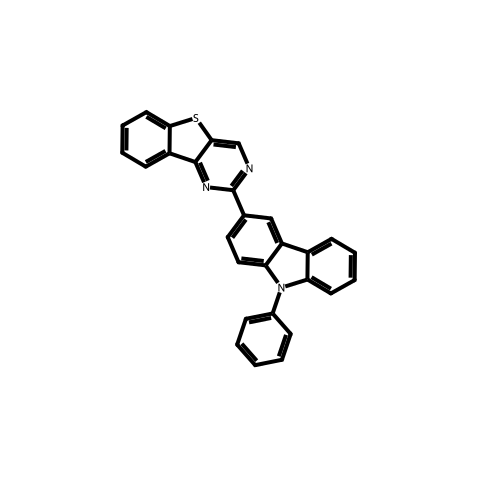 c1ccc(-n2c3ccccc3c3cc(-c4ncc5sc6ccccc6c5n4)ccc32)cc1